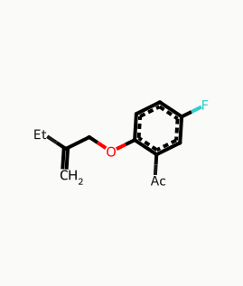 C=C(CC)COc1ccc(F)cc1C(C)=O